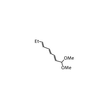 CCC=CC=CC=CC(OC)OC